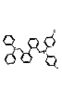 Fc1ccc(P(Cc2ccccc2-c2ccccc2CP(c2ccccc2)c2ccccc2)c2ccc(F)cc2)cc1